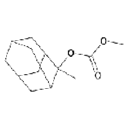 COC(=O)OC1(C)C2CC3CC(C2)CC1C3